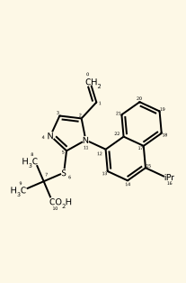 C=Cc1cnc(SC(C)(C)C(=O)O)n1-c1ccc(C(C)C)c2ccccc12